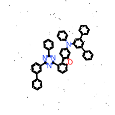 c1ccc(-c2cccc(-c3nc(-c4ccccc4)nc(-c4cccc5oc6cc(N(c7ccccc7)c7cc(-c8ccccc8)cc(-c8ccccc8)c7)ccc6c45)n3)c2)cc1